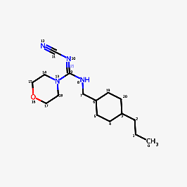 CCCC1CCC(CN/C(=N/C#N)N2CCOCC2)CC1